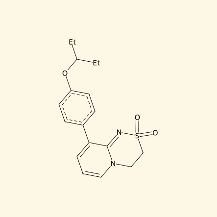 CCC(CC)Oc1ccc(C2=CC=CN3CCS(=O)(=O)N=C23)cc1